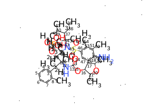 [2H]C(C)(c1ccccc1C)[C@](C)(NC(=O)O[C@H]1CC(C)OC1C)[C@]([2H])(OP(=O)(O)O)C([2H])(C)N(C(C)(C)C(CC)C(C)C)S(=O)(=O)c1ccc(N)c(C)c1C